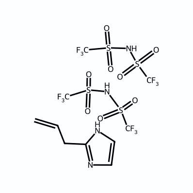 C=CCc1ncc[nH]1.O=S(=O)(NS(=O)(=O)C(F)(F)F)C(F)(F)F.O=S(=O)(NS(=O)(=O)C(F)(F)F)C(F)(F)F